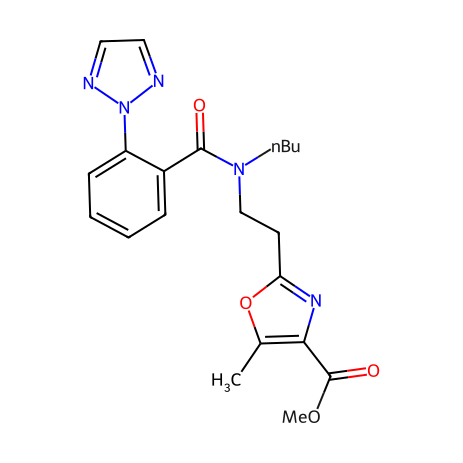 CCCCN(CCc1nc(C(=O)OC)c(C)o1)C(=O)c1ccccc1-n1nccn1